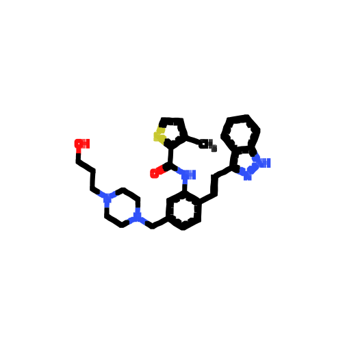 Cc1ccsc1C(=O)Nc1cc(CN2CCN(CCCO)CC2)ccc1C=Cc1n[nH]c2ccccc12